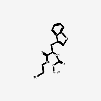 CCCCCCOC(=O)NC(Cc1csc2ccccc12)C(=O)NCCC#N